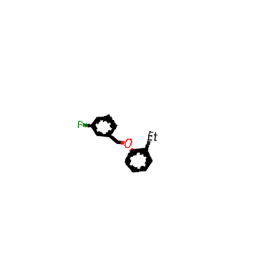 CCc1ccccc1OCc1cccc(F)c1